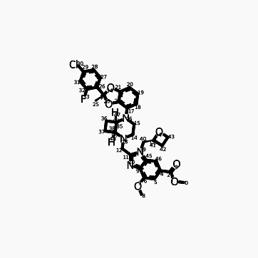 COC(=O)c1cc(OC)c2nc(CN3CCN(c4cccc5c4O[C@](C)(c4ccc(Cl)cc4F)O5)[C@H]4CC[C@H]43)n(C[C@@H]3CCO3)c2c1